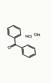 Cl.Cl.O=C(c1ccccc1)c1ccccc1